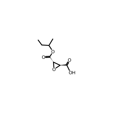 CCC(C)OC(=O)[C@H]1O[C@@H]1C(=O)O